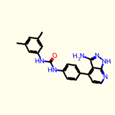 Cc1cc(C)cc(NC(=O)Nc2ccc(-c3ccnc4[nH]nc(N)c34)cc2)c1